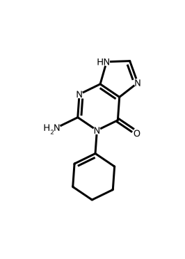 Nc1nc2[nH]cnc2c(=O)n1C1=CCCCC1